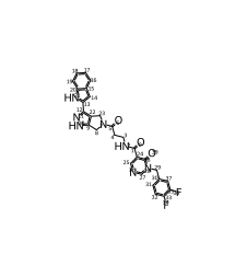 O=C(NCCC(=O)N1Cc2[nH]nc(-c3cc4ccccc4[nH]3)c2C1)c1cncn(Cc2ccc(F)c(F)c2)c1=O